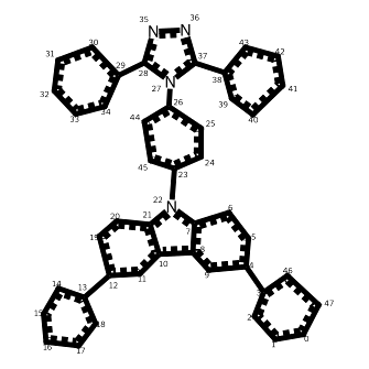 c1ccc(-c2ccc3c(c2)c2cc(-c4ccccc4)ccc2n3-c2ccc(-n3c(-c4ccccc4)nnc3-c3ccccc3)cc2)cc1